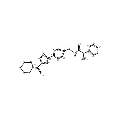 NC(C(=O)NCc1ccc(-c2nc(C(=O)N3CCCCC3)co2)cc1)c1ccccc1